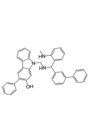 CNc1ccccc1C(NCn1c2ccccc2c2cc(-c3ccccc3)c(O)cc21)c1cccc(-c2ccccc2)c1